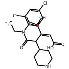 CCN(C(=O)C(/C(=C\C(=O)O)C(=O)O)C1CCNCC1)c1ccc(Cl)cc1Cl